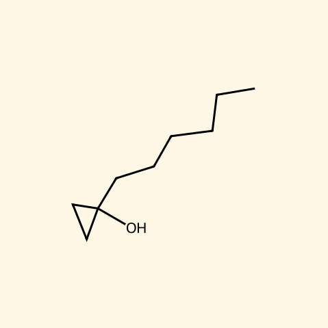 CCCCCCC1(O)CC1